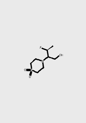 C[C@H](F)C(CO)N1CCS(=O)(=O)CC1